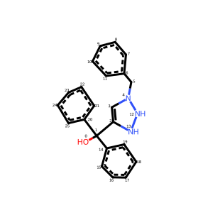 OC(C1=CN(Cc2ccccc2)NN1)(c1ccccc1)c1ccccc1